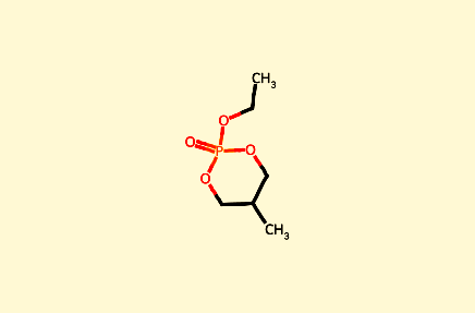 CCOP1(=O)OCC(C)CO1